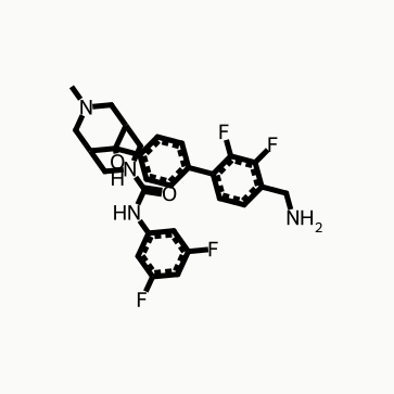 CN1CC2CN(C(=O)Nc3cc(F)cc(F)c3)CC(C1)C2(O)c1ccc(-c2ccc(CN)c(F)c2F)cc1